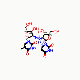 Cc1cn([C@@H]2O[C@H](CO)[C@@H](O)C2N)c(=O)[nH]c1=O.NC1[C@H](n2ccc(=O)[nH]c2=O)O[C@H](CO)[C@H]1O